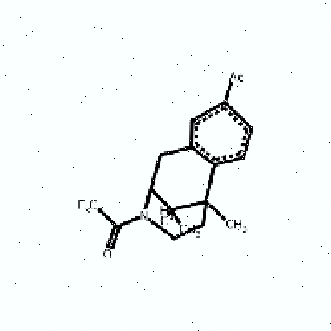 CC(=O)c1ccc2c(c1)CC1N(C(=O)C(F)(F)F)CCC2(C)C1(C)C